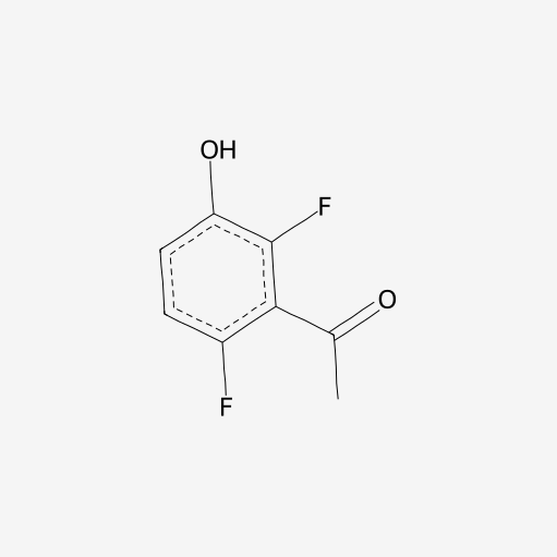 CC(=O)c1c(F)ccc(O)c1F